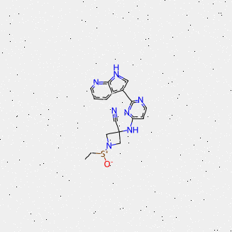 CC[S+]([O-])N1CC(C#N)(Nc2ccnc(-c3c[nH]c4ncccc34)n2)C1